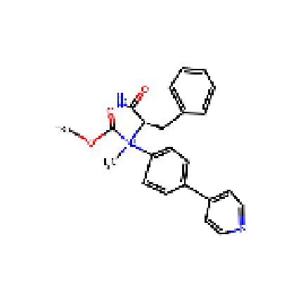 CC(C)(C)OC(=O)[N+](C)(c1ccc(-c2ccncc2)cc1)[C@H](Cc1ccccc1)C(N)=O